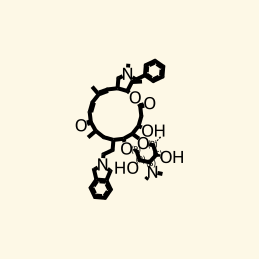 CCC1OC(=O)CC(O)C(C)C(O[C@@H]2O[C@H](C)[C@@H](O)[C@H](N(C)C)[C@H]2O)C(CCN2Cc3ccccc3C2)CC(C)C(=O)C=CC(C)=CC1CN(C)Cc1ccccc1